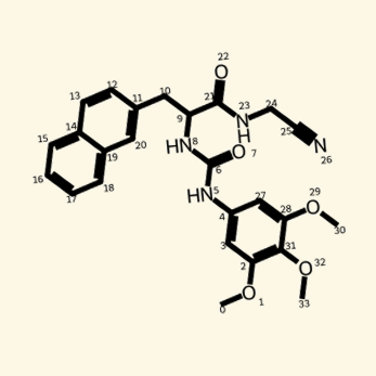 COc1cc(NC(=O)NC(Cc2ccc3ccccc3c2)C(=O)NCC#N)cc(OC)c1OC